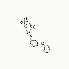 CC1(C)C(CC(Cl)(Cl)Cl)C1C(=O)OCc1cccc(Oc2ccccc2)c1